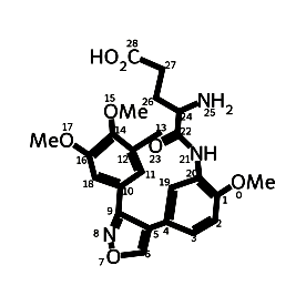 COc1ccc(-c2conc2-c2cc(C)c(OC)c(OC)c2)cc1NC(=O)C(N)CCC(=O)O